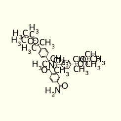 CC(C)(C)OOC(C)(C)c1ccc(C(C)(C)N(C(=O)c2ccc(C(N)=O)cc2)C(C)(C)c2ccc(C(C)(C)OOC(C)(C)C)cc2)cc1